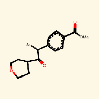 COC(=O)c1ccc(C(C(C)=O)C(=O)C2CCOCC2)cc1